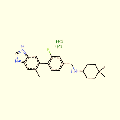 Cc1cc2nc[nH]c2cc1-c1ccc(CNC2CCC(C)(C)CC2)cc1F.Cl.Cl